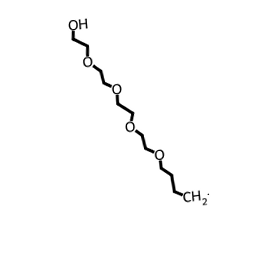 [CH2]CCCOCCOCCOCCOCCO